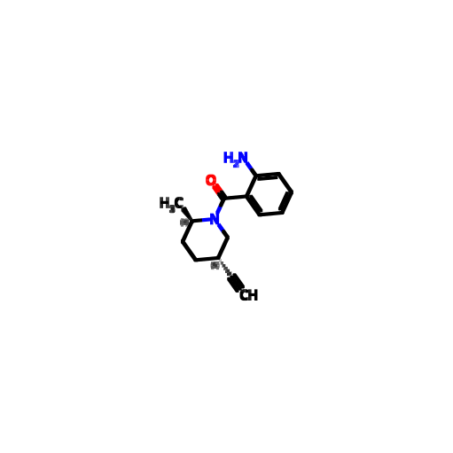 C#C[C@@H]1CC[C@@H](C)N(C(=O)c2ccccc2N)C1